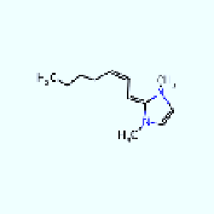 CCCC/C=C\C=C1N(C)C=CN1C